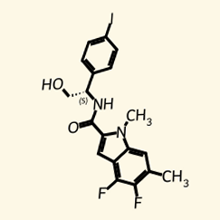 Cc1cc2c(cc(C(=O)N[C@H](CO)c3ccc(I)cc3)n2C)c(F)c1F